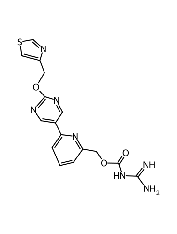 N=C(N)NC(=O)OCc1cccc(-c2cnc(OCc3cscn3)nc2)n1